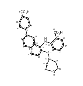 O=C(O)c1ccc(-c2ccc3ncc(SN4CCOCC4)c(Nc4ccccc4C(=O)O)c3c2)cc1